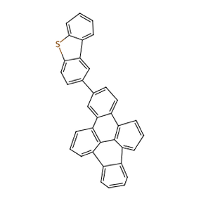 c1ccc2c(c1)sc1ccc(-c3ccc4c(c3)c3cccc5c6ccccc6c6cccc4c6c53)cc12